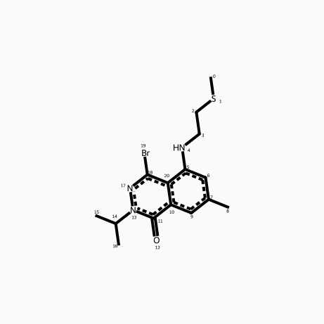 CSCCNc1cc(C)cc2c(=O)n(C(C)C)nc(Br)c12